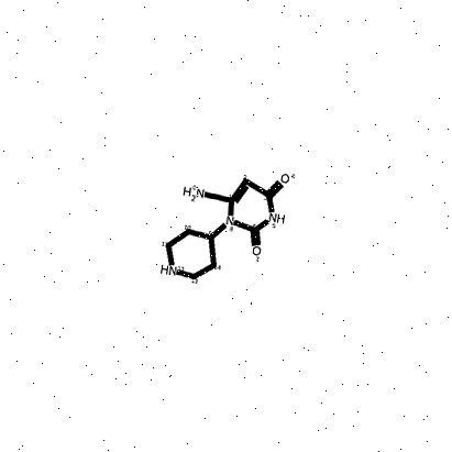 Nc1cc(=O)[nH]c(=O)n1C1CCNCC1